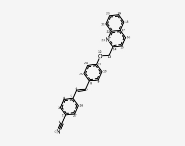 N#Cc1ccc(C=Cc2ccc(OCc3ccc4ccccc4n3)cc2)cc1